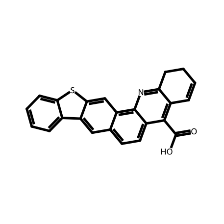 O=C(O)c1c2c(nc3c1ccc1cc4c(cc13)sc1ccccc14)CCC=C2